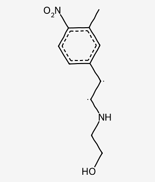 Cc1cc([CH][CH]NCCO)ccc1[N+](=O)[O-]